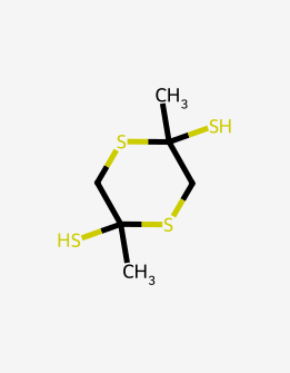 CC1(S)CSC(C)(S)CS1